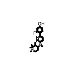 CC1C(N(C)c2ccc(-c3ccc(O)cc3F)nn2)CCN(C)C1(C)C